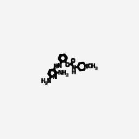 CN1CCC(NC(=O)Oc2ccccc2/N=N/c2ccc(N)nc2N)CC1